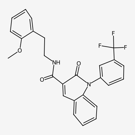 COc1ccccc1CCNC(=O)c1cc2ccccc2n(-c2cccc(C(F)(F)F)c2)c1=O